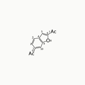 CC(=O)c1c[c]c2cc(C(C)=O)oc2c1